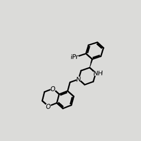 CC(C)c1ccccc1[C@@H]1CN(Cc2cccc3c2OCCO3)CCN1